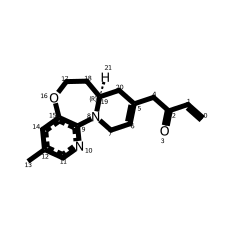 C=CC(=O)CC1=CCN2c3ncc(C)cc3OCC[C@H]2C1